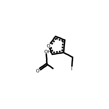 CC(=O)O.ICc1ccoc1